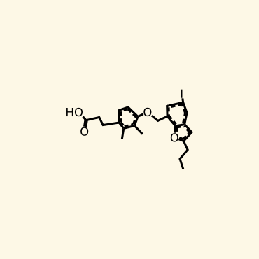 CCCc1cc2cc(I)cc(COc3ccc(CCC(=O)O)c(C)c3C)c2o1